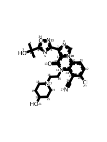 CC(C)(O)c1nc(-c2ncn3c2c(=O)n(CCN2CCC(O)CC2)c2c(C#N)c(Cl)ccc23)no1